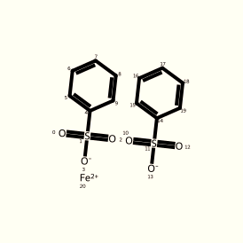 O=S(=O)([O-])c1ccccc1.O=S(=O)([O-])c1ccccc1.[Fe+2]